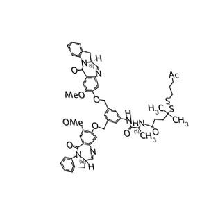 COc1cc2c(cc1OCc1cc(COc3cc4c(cc3OC)C(=O)N3c5ccccc5C[C@H]3C=N4)cc(NC(=O)[C@H](C)NC(=O)CCC(C)(C)SSCCCC(C)=O)c1)N=C[C@@H]1Cc3ccccc3N1C2=O